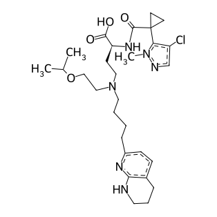 CC(C)OCCN(CCCCc1ccc2c(n1)NCCC2)CC[C@H](NC(=O)C1(c2c(Cl)cnn2C)CC1)C(=O)O